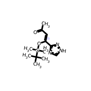 CC(=O)/C=C(\O[Si](C)(C)C(C)(C)C)c1nc[nH]n1